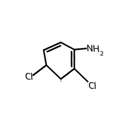 NC1=C(Cl)[CH]C(Cl)C=C1